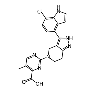 Cc1cnc(N2CCc3n[nH]c(-c4ccc(Cl)c5[nH]ccc45)c3C2)nc1C(=O)O